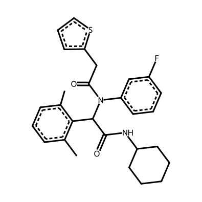 Cc1cccc(C)c1C(C(=O)NC1CCCCC1)N(C(=O)Cc1cccs1)c1cccc(F)c1